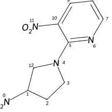 NC1CCN(c2ncccc2[N+](=O)[O-])C1